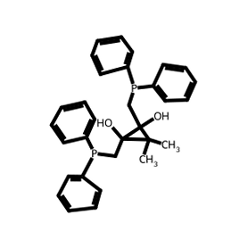 CC1(C)C(O)(CP(c2ccccc2)c2ccccc2)C1(O)CP(c1ccccc1)c1ccccc1